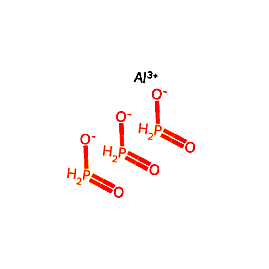 O=[PH2][O-].O=[PH2][O-].O=[PH2][O-].[Al+3]